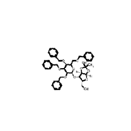 CC1(C)O[C@H]2O[C@H](CO)[C@H](O[C@@H]3OC(COCc4ccccc4)[C@H](OCc4ccccc4)C(OCc4ccccc4)C3OCc3ccccc3)[C@H]2O1